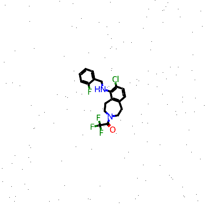 O=C(N1CCc2ccc(Cl)c(NCc3ccccc3F)c2CC1)C(F)(F)F